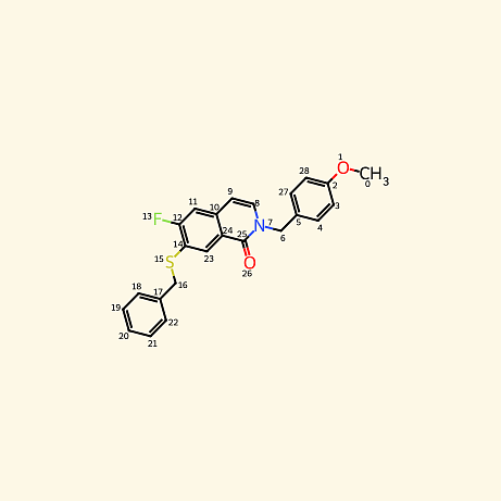 COc1ccc(Cn2ccc3cc(F)c(SCc4ccccc4)cc3c2=O)cc1